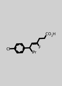 CC(C)C(C=C(F)CCC(=O)O)c1ccc(Cl)cc1